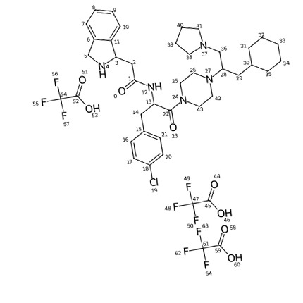 O=C(CC1NCc2ccccc21)NC(Cc1ccc(Cl)cc1)C(=O)N1CCN(C(CC2CCCCC2)CN2CCCC2)CC1.O=C(O)C(F)(F)F.O=C(O)C(F)(F)F.O=C(O)C(F)(F)F